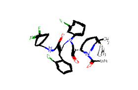 COC(=O)N1[C@H](C(=O)N(c2cccc(F)c2)[C@H](C(=O)NC2CC(F)(F)C2)c2ccccc2Cl)CCC1(C)C